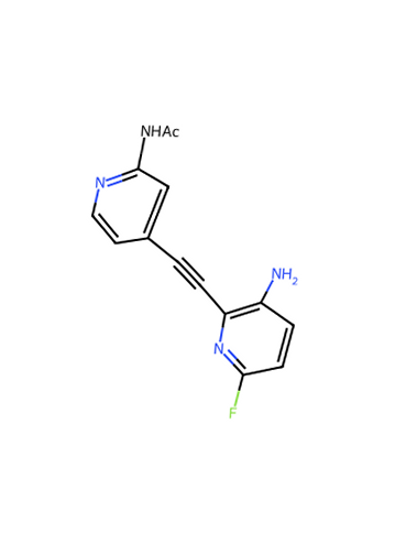 CC(=O)Nc1cc(C#Cc2nc(F)ccc2N)ccn1